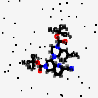 CC(C)CC1CN(C2CN(C(=O)OC(C)(C)C)Cc3ccc(C#N)nc32)CCN1C(=O)OC(C)(C)C